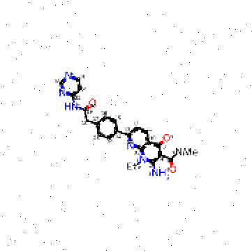 CCn1c(N)c(C(=O)NC)c(=O)c2ccc(-c3ccc(CC(=O)Nc4ccncn4)cc3)nc21